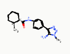 C[C@H]1CCCC[C@@H]1C(=O)Nc1ccc(-c2nnn(C)c2N)cc1